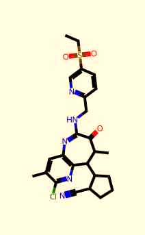 CCS(=O)(=O)c1ccc(CNC2=Nc3cc(C)c(Cl)nc3C(C3CCCC3C#N)C(C)C2=O)nc1